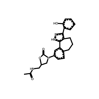 CC(=O)NCC1CN(c2ccc3c(c2)-c2[nH]nc(-c4ccccc4O)c2CCC3)C(=O)O1